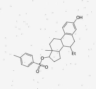 CCC1Cc2cc(O)ccc2C2CCC3(C)C(OS(=O)(=O)c4ccc(C)cc4)CCC3C12